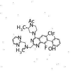 CC(=O)N1CCN(c2nc(CN(C)Cc3ncccn3)nc3c(F)c(-c4c(O)cccc4F)c(Cl)cc23)C[C@H]1C